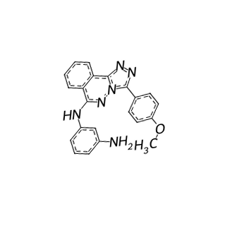 COc1ccc(-c2nnc3c4ccccc4c(Nc4cccc(N)c4)nn23)cc1